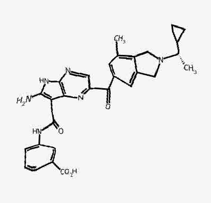 Cc1cc(C(=O)c2cnc3[nH]c(N)c(C(=O)Nc4cccc(C(=O)O)c4)c3n2)cc2c1CN([C@@H](C)C1CC1)C2